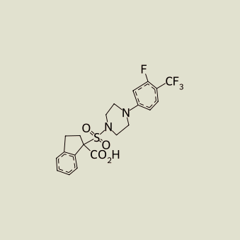 O=C(O)C1(S(=O)(=O)N2CCN(c3ccc(C(F)(F)F)c(F)c3)CC2)CCc2ccccc21